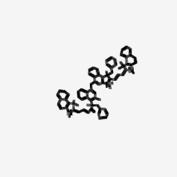 C=C(/C=C/C=C1/N(C)c2ccc3ccccc3c2C1(C)C)C(C)(Cc1ccccc1)c1c(C)cc(Cc2cc3c(c4ccccc24)C(C)(Cc2ccccc2)C(/C=C/C=C2/N(C)c4ccc5ccccc5c4C2(C)C)=[N+]3C)c2ccccc12